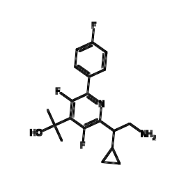 CC(C)(O)c1c(F)c(-c2ccc(F)cc2)nc(C(CN)C2CC2)c1F